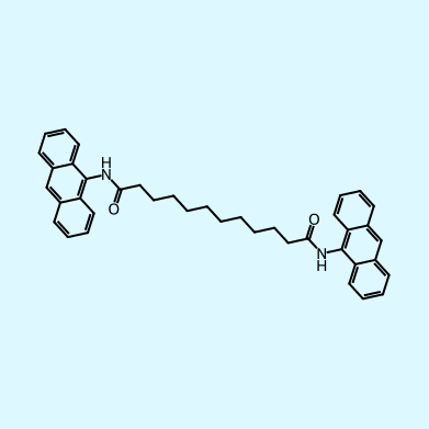 O=C(CCCCCCCCCCC(=O)Nc1c2ccccc2cc2ccccc12)Nc1c2ccccc2cc2ccccc12